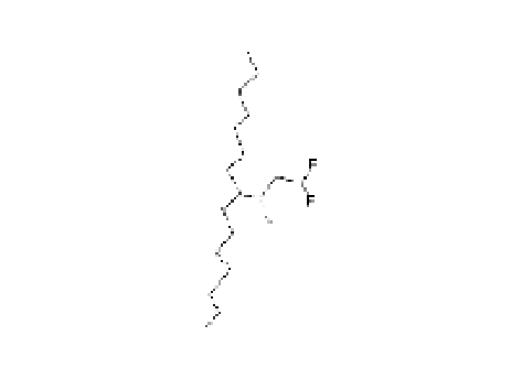 CCCCCCCC(CCCCCCC)[C@@H](C)CC(F)F